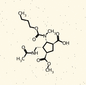 CCCCOC(=O)N(C)[C@H]1[C@@H](CNC(C)=O)[C@H](C(=O)OC)C[C@@H]1C(=O)O